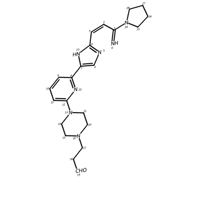 N=C(/C=C\c1ncc(-c2cccc(N3CCN(CCC=O)CC3)n2)[nH]1)N1CCCC1